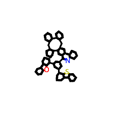 c1ccc2c(c1)Cc1ccccc1-c1cc3c(-c4cc(-c5cccc6c5oc5ccccc56)cc(-c5cccc6c5sc5ccccc56)c4)nc4ccccc4c3cc1Cc1ccccc1-2